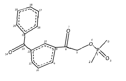 CP(C)(=O)OCC(=O)c1cccc(C(=O)c2ccccc2)c1